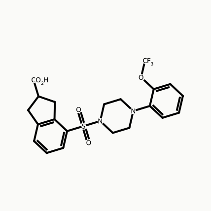 O=C(O)C1Cc2cccc(S(=O)(=O)N3CCN(c4ccccc4OC(F)(F)F)CC3)c2C1